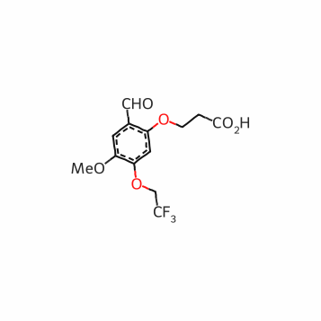 COc1cc(C=O)c(OCCC(=O)O)cc1OCC(F)(F)F